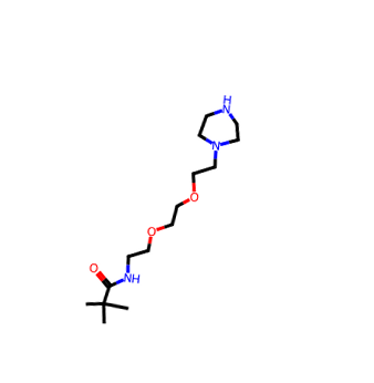 CC(C)(C)C(=O)NCCOCCOCCN1CCNCC1